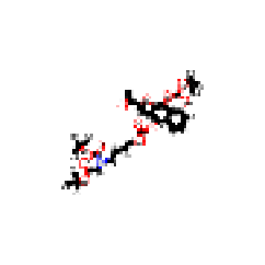 CC(=O)c1cc2c(OC(=O)OCCCCN(CC(=O)OC(C)(C)C)C(=O)OC(C)(C)C)c3ccccc3c(OC(=O)OC(C)(C)C)c2o1